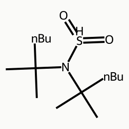 CCCCC(C)(C)N([SH](=O)=O)C(C)(C)CCCC